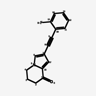 O=C1CCCn2cc(C#Cc3ccccc3F)cc21